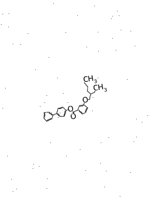 CCCCC(CC)COc1cccc(C(=O)Oc2ccc(-c3ccccc3)cc2)c1